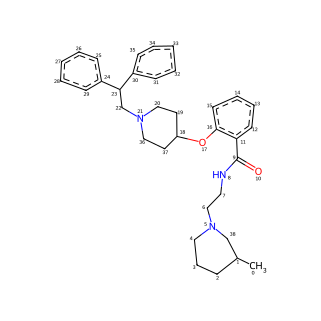 CC1CCCN(CCNC(=O)c2ccccc2OC2CCN(CC(c3ccccc3)c3ccccc3)CC2)C1